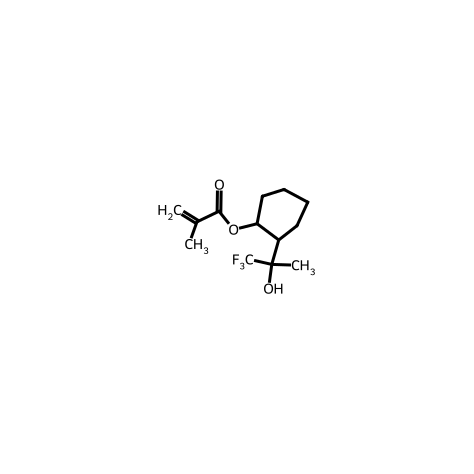 C=C(C)C(=O)OC1CCCCC1C(C)(O)C(F)(F)F